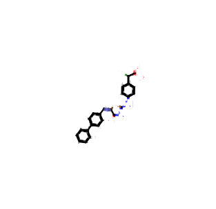 O=C1N=C(Nc2ccc(C(Br)C(=O)O)cc2)S/C1=C/c1ccc(-c2ccccc2)cc1